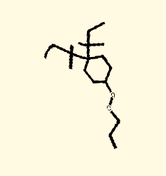 CCCOOC1CCC(C(C)(C)CC)(C(C)(C)CC)CC1